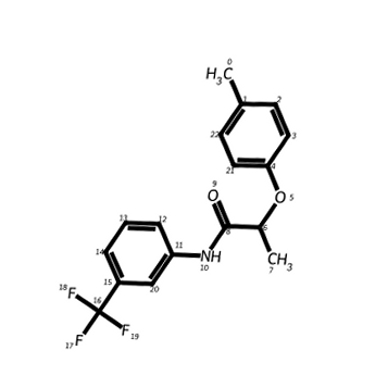 Cc1ccc(OC(C)C(=O)Nc2cccc(C(F)(F)F)c2)cc1